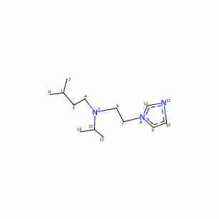 CC(C)CCN(CCn1ccnc1)C(C)C